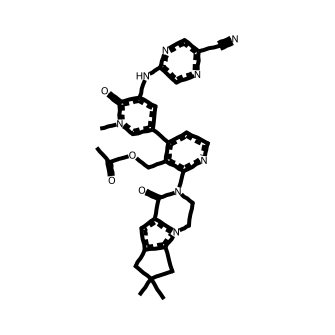 CC(=O)OCc1c(-c2cc(Nc3cnc(C#N)cn3)c(=O)n(C)c2)ccnc1N1CCn2c(cc3c2CC(C)(C)C3)C1=O